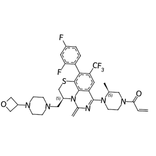 C=CC(=O)N1CCN(C2=NC(=C)N3c4c2cc(C(F)(F)F)c(-c2ccc(F)cc2F)c4SC[C@@H]3CN2CCN(C3COC3)CC2)[C@@H](C)C1